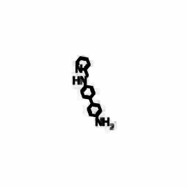 Nc1ccc(-c2ccc(NCc3ccccn3)cc2)cc1